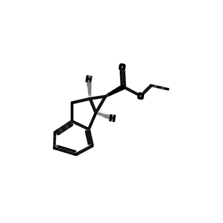 CCOC(=O)[C@@H]1[C@@H]2Cc3ccccc3[C@@H]21